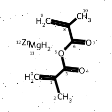 C=C(C)C(=O)OC(=O)C(=C)C.[MgH2].[Zn]